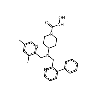 Cc1cnc(CN(Cc2ncccc2-c2ccccc2)C2CCN(C(=O)NO)CC2)c(C)c1